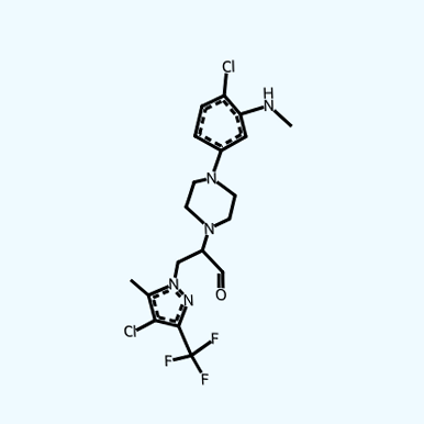 CNc1cc(N2CCN(C(C=O)Cn3nc(C(F)(F)F)c(Cl)c3C)CC2)ccc1Cl